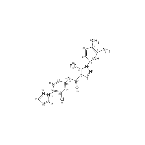 CC1=C(N)NC(n2ncc(C(=O)Nc3cnc(-n4nccn4)c(Cl)c3)c2C(F)(F)F)C=C1